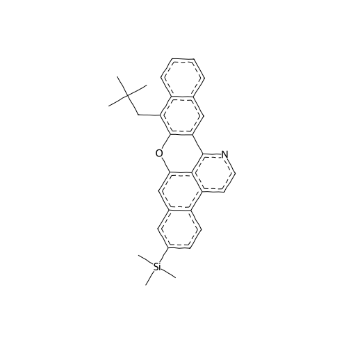 CC(C)(C)Cc1c2c(cc3ccccc13)-c1nccc3c1c(cc1cc([Si](C)(C)C)ccc13)O2